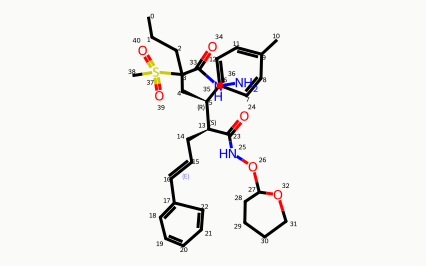 CCCC(C[C@@H](c1ccc(C)cc1)[C@H](C/C=C/c1ccccc1)C(=O)NOC1CCCCO1)(C(=O)NN)S(C)(=O)=O